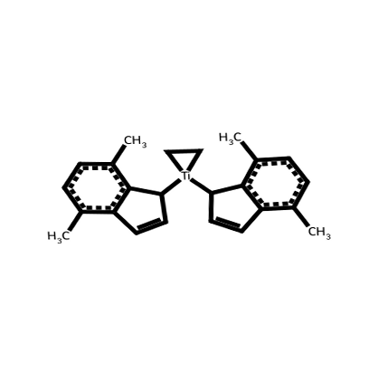 Cc1ccc(C)c2c1C=C[CH]2[Ti]1([CH]2C=Cc3c(C)ccc(C)c32)[CH2][CH2]1